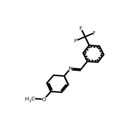 COC1=CCC(/N=C/c2cccc(C(F)(F)F)c2)C=C1